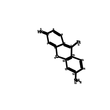 CCc1c2ccc(=N)cc-2oc2cc(N)ccc12